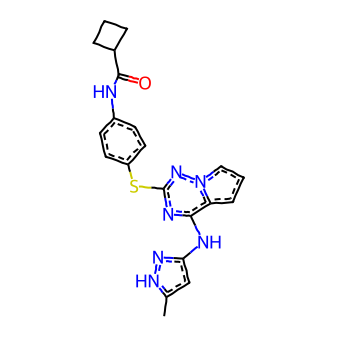 Cc1cc(Nc2nc(Sc3ccc(NC(=O)C4CCC4)cc3)nn3cccc23)n[nH]1